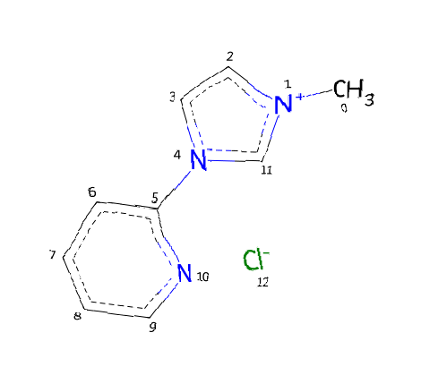 C[n+]1ccn(-c2ccccn2)c1.[Cl-]